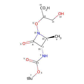 C[C@H]1[C@H](NC(=O)OC(C)(C)C)C(=O)N1OC(CO)C(=O)O